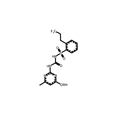 COc1cc(C)nc(NC(=O)NS(=O)(=O)c2ccccc2CCC(F)(F)F)n1